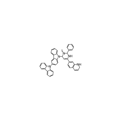 IN1C(c2ccccc2)NC(c2ccc3c(c2)NCC=C3)=CC1n1c2ccccc2c2cc(-n3c4ccccc4c4ccccc43)ccc21